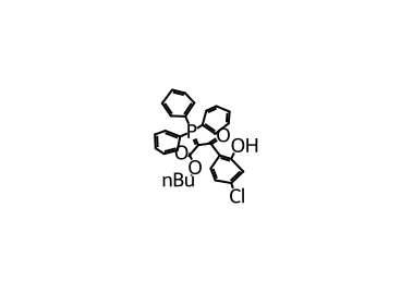 CCCCOC(=O)C(C(=O)c1ccc(Cl)cc1O)=P(c1ccccc1)(c1ccccc1)c1ccccc1